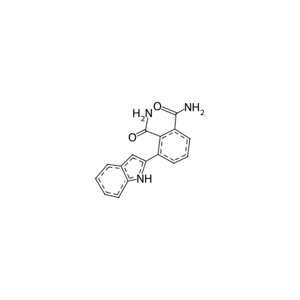 NC(=O)c1cccc(-c2cc3ccccc3[nH]2)c1C(N)=O